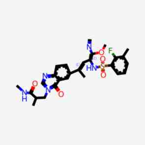 C=N/C(OC)=C(\C=C(/C)c1ccc2ncn(CC(C)C(=O)NC)c(=O)c2c1)NS(=O)(=O)c1cccc(C)c1F